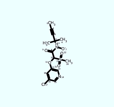 CC#CC(C)(C)[NH+]([O-])C(=O)C(Oc1cncc(Cl)c1)S(C)(=O)=O